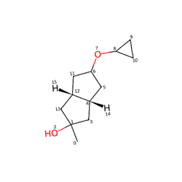 CC1(O)C[C@H]2CC(OC3CC3)C[C@H]2C1